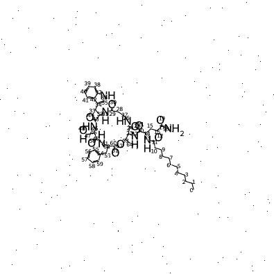 CCCCCCCCCCCC(=O)NC(CCC(N)=O)C(=O)NC1C(=O)NCCC(=O)NC(Cc2c[nH]c3ccccc23)C(=O)NC(CO)C(=O)NC(Cc2ccccc2)C(=O)OC1C